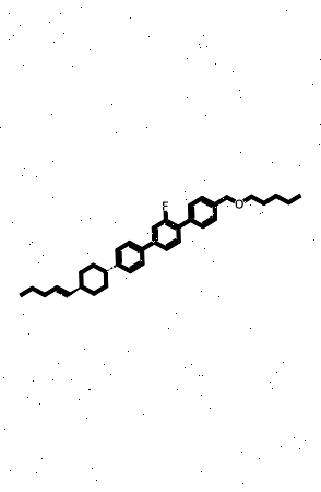 CCCC=C[C@H]1CC[C@H](c2ccc(-c3ccc(-c4ccc(COCCCCC)cc4)c(F)c3)cc2)CC1